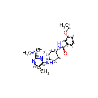 CCOc1cccc(C(=O)NC2CCC(Nc3nc(N(C)C)ncc3C)CC2)c1